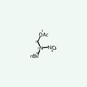 CCCCN(COC(C)=O)N=O